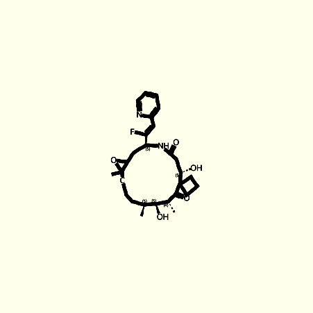 C[C@H]1CCCC2(C)OC2C[C@@H](C(F)=Cc2ccccn2)NC(=O)C[C@H](O)C2(CCC2)C(=O)[C@H](C)[C@H]1O